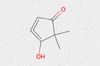 CC1(C)C(=O)C=C=C1O